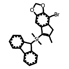 CC1=C([Si](C)(C)C2c3ccccc3-c3ccccc32)c2cc3c(c(Br)c2C1)OCO3